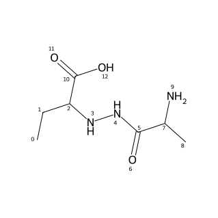 CCC(NNC(=O)C(C)N)C(=O)O